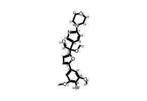 COc1cc(-c2ccc(C(C=O)(OC)c3ccc(N4CCOCC4)nc3)o2)cc(OC)c1Br